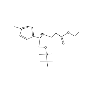 CCOC(=O)CCNC(CO[Si](C)(C)C(C)(C)C)c1ccc(I)cc1